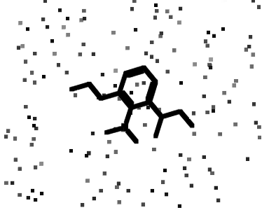 CCCc1cccc(C(C)CC)c1N(C)C